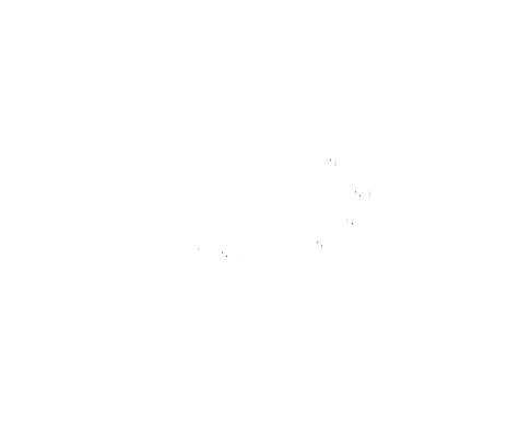 Cc1ccc(C(=O)Nc2ccc(-c3cc(C(C)(C)C)nc4[nH]nc(N)c34)cc2)cc1